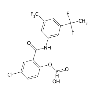 CC(F)(F)c1cc(NC(=O)c2cc(Cl)ccc2O[PH](=O)O)cc(C(F)(F)F)c1